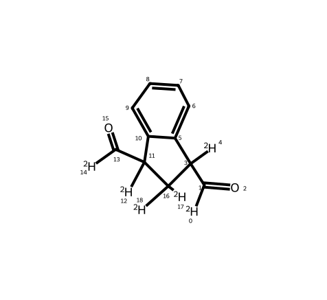 [2H]C(=O)C1([2H])c2ccccc2C([2H])(C([2H])=O)C1([2H])[2H]